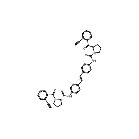 C#Cc1ccccc1C(=O)N1CCC[C@H]1C(=O)Nc1ccc(/C=C/c2ccc(NC(=O)[C@@H]3CCCN3C(=O)c3ccccc3C#C)cc2)cc1